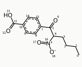 CCCCC(C(=O)c1ccc(C(=O)O)cc1)[N+](=O)[O-]